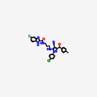 Cc1ccc(C(=O)c2nn(-c3ccc(Cl)cc3)c(NCCCNC(=O)c3nc4cc(F)ccc4[nH]3)c2C#N)cc1